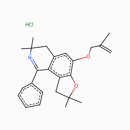 C=C(C)COc1cc2c(c3c1OC(C)(C)C3)C(c1ccccc1)=NC(C)(C)C2.Cl